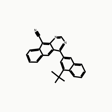 CC(C)(C)c1cc(-c2ncnc3c(C#N)c4ccccc4cc23)cc2ccccc12